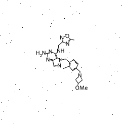 COC1CN(Cc2ccc(Cn3ncc4nc(N)nc(NCc5noc(C)n5)c43)c(C)c2)C1